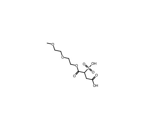 COCCOCCOC(=O)C(CC(=O)O)S(=O)(=O)O